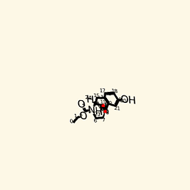 CCOC(=O)N1CC[C@]23CCCC[C@H]2[C@H]1Cc1ccc(O)cc13